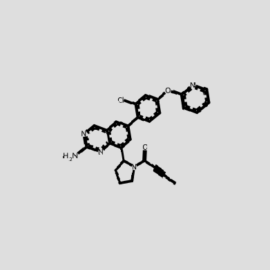 CC#CC(=O)N1CCCC1c1cc(-c2ccc(Oc3ccccn3)cc2Cl)cc2cnc(N)nc12